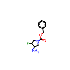 NC1CN(C(=O)OCc2ccccc2)CC1F